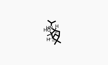 CC(C)N[C@@H]1CC2C[C@@H](C2(C)C)[C@]1(C)O